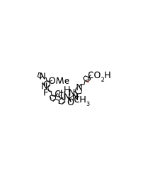 COc1cc(/C(F)=C/c2cccc(-c3cccc(NC(=O)c4nc5c(n4C)CCN(CCC46CCC(C(=O)O)(CC4)C6)C5)c3Cl)c2Cl)ncc1CN1CCCC1